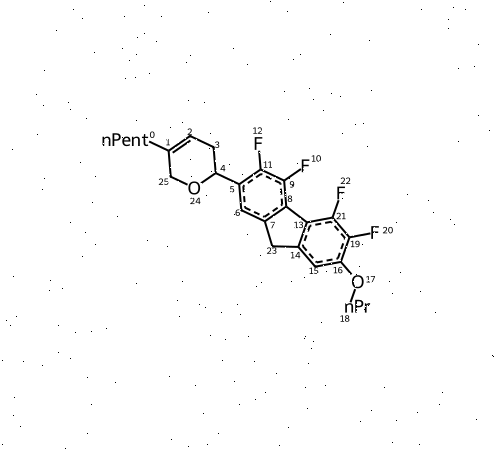 CCCCCC1=CCC(c2cc3c(c(F)c2F)-c2c(cc(OCCC)c(F)c2F)C3)OC1